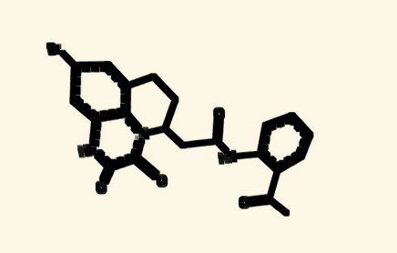 CC(=O)c1ccccc1NC(=O)CC1CCc2cc(Br)cc3[nH]c(=O)c(=O)n1c23